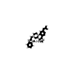 CC(C)=Cc1ccc(-c2nn[nH]n2)c(N2CCN(Cc3nc4ccccc4n3C)CC2)c1